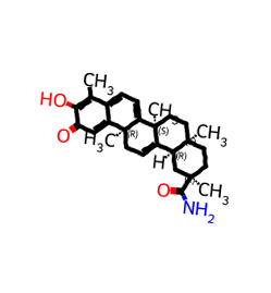 CC1=C(O)C(=O)C=C2C1=CC=C1[C@@]2(C)CC=C2[C@@H]3C[C@](C)(C(N)=O)CC[C@]3(C)CC[C@@]21C